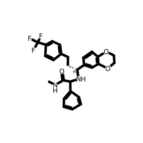 CNC(=O)C(N[C@H](CCc1ccc(C(F)(F)F)cc1)c1ccc2c(c1)OCCO2)c1ccccc1